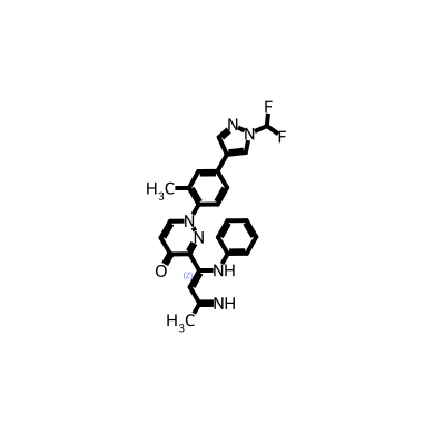 CC(=N)/C=C(\Nc1ccccc1)c1nn(-c2ccc(-c3cnn(C(F)F)c3)cc2C)ccc1=O